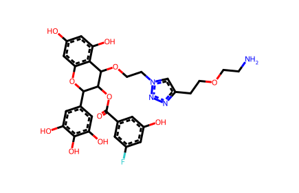 NCCOCCc1cn(CCOC2c3c(O)cc(O)cc3OC(c3cc(O)c(O)c(O)c3)C2OC(=O)c2cc(O)cc(F)c2)nn1